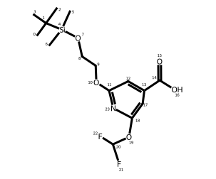 CC(C)(C)[Si](C)(C)OCCOc1cc(C(=O)O)cc(OC(F)F)n1